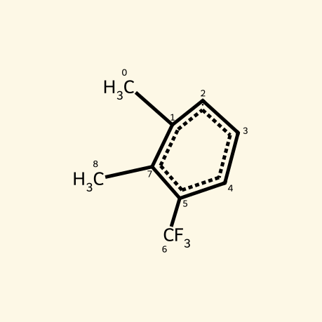 Cc1[c]ccc(C(F)(F)F)c1C